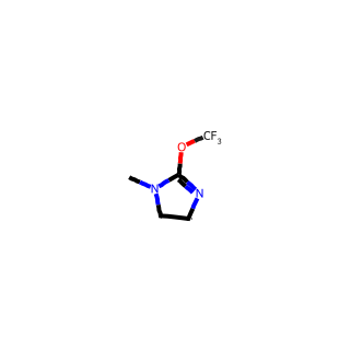 CN1C[CH]N=C1OC(F)(F)F